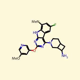 CNc1cc(F)cc2c1[nH]c1nc(Oc3cncc(OC)c3)nc(N3CCC4CC(N)C4C3)c12